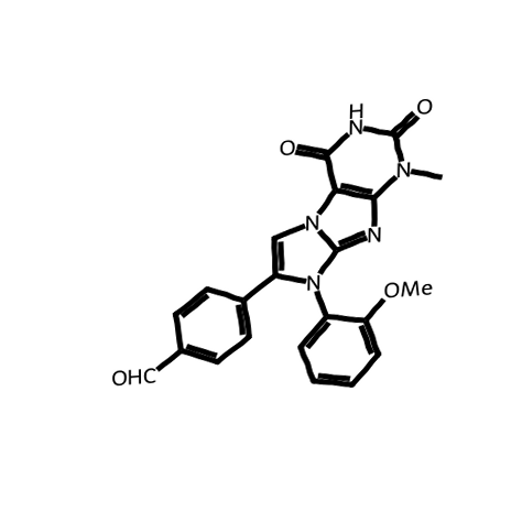 COc1ccccc1-n1c(-c2ccc(C=O)cc2)cn2c3c(=O)[nH]c(=O)n(C)c3nc12